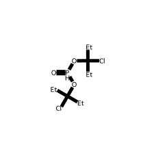 CCC(Cl)(CC)O[PH](=O)OC(Cl)(CC)CC